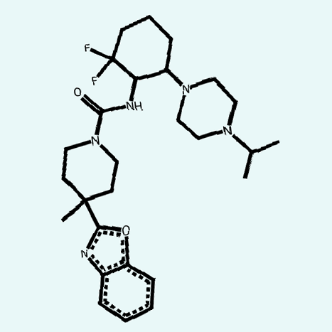 CC(C)N1CCN(C2CCCC(F)(F)C2NC(=O)N2CCC(C)(c3nc4ccccc4o3)CC2)CC1